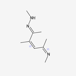 C/N=C(C)\C=C(\C)C(C)=NNC